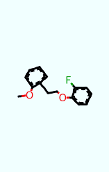 COc1ccccc1CCOc1ccccc1F